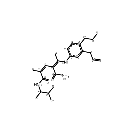 C=CCc1cc(N/C(C)=C(/C=C(/C)C(=C)NC(C)C(C)C)C(=C)N)ccc1CCC